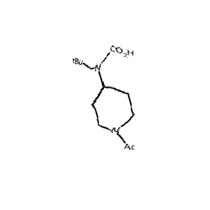 CC(=O)N1CCC(N(C(=O)O)C(C)(C)C)CC1